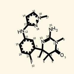 CN1C(=O)C(C)(C)C(C)(c2cc(Nc3ccn(C)n3)ccc2F)N=C1N